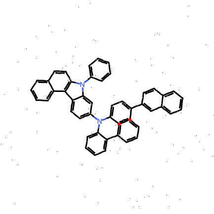 c1ccc(-c2ccccc2N(c2ccc(-c3ccc4ccccc4c3)cc2)c2ccc3c4c5ccccc5ccc4n(-c4ccccc4)c3c2)cc1